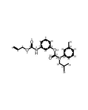 C=CCOC(=O)Nc1cccc(OC(=O)N(CC(C)C)c2cccc(C)c2)c1